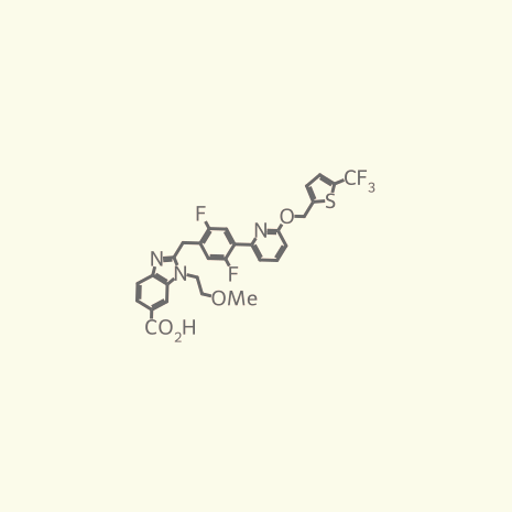 COCCn1c(Cc2cc(F)c(-c3cccc(OCc4ccc(C(F)(F)F)s4)n3)cc2F)nc2ccc(C(=O)O)cc21